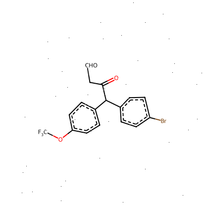 O=CCC(=O)C(c1ccc(Br)cc1)c1ccc(OC(F)(F)F)cc1